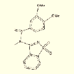 C=[N+](c1ccc(OC)c(OC)c1)N(C)C1=NS(=O)(=O)c2ccccc21